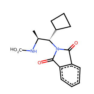 C[C@H](NC(=O)O)[C@H](C1CCC1)N1C(=O)c2ccccc2C1=O